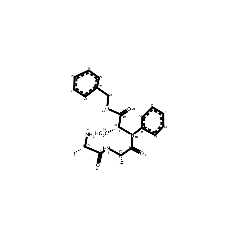 C[C@H](N)C(=O)N[C@@H](C)C(=O)N(c1ccccc1)[C@H](C(=O)O)C(=O)OCc1ccccc1